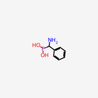 NC(c1ccccc1)P(O)O